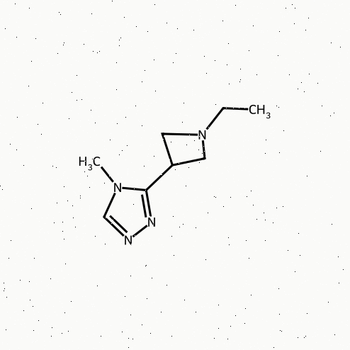 CCN1CC(c2nncn2C)C1